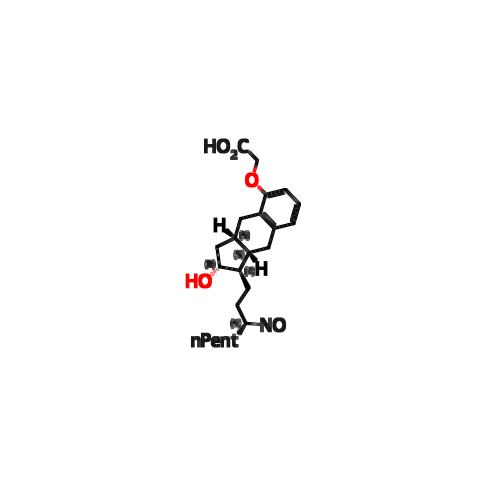 CCCCC[C@@H](CC[C@@H]1[C@H]2Cc3cccc(OCC(=O)O)c3C[C@H]2C[C@H]1O)N=O